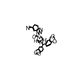 N#Cc1ccc2nnn(C(=O)N3C[C@@H]4C[C@H]3CN4C(c3ccc4c(c3)COCO4)c3ccc4c(c3)COCO4)c2c1